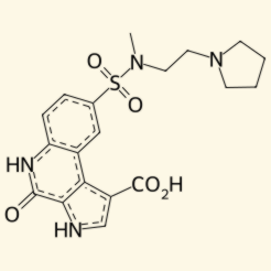 CN(CCN1CCCC1)S(=O)(=O)c1ccc2[nH]c(=O)c3[nH]cc(C(=O)O)c3c2c1